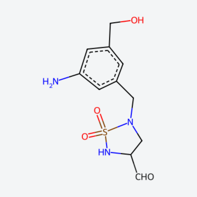 Nc1cc(CO)cc(CN2CC(C=O)NS2(=O)=O)c1